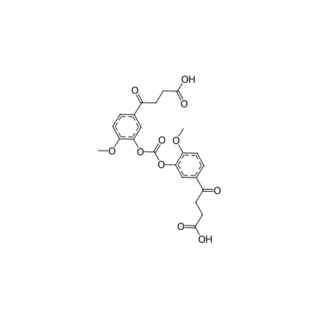 COc1ccc(C(=O)CCC(=O)O)cc1OC(=O)Oc1cc(C(=O)CCC(=O)O)ccc1OC